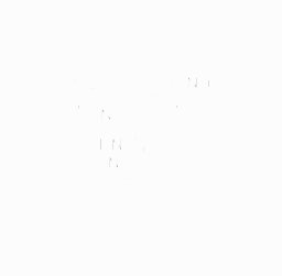 Cc1cc(C)[n+](NC(=O)c2cc(S(N)(=O)=O)c(Cl)cc2N(C)c2ccco2)c(C)c1